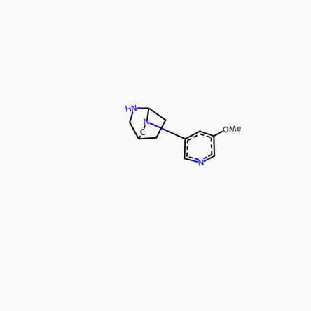 COc1cncc(N2CC3CCC(C2)NC3)c1